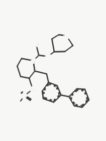 CS(=O)(=O)NC1CCCN(C(O)OC2CCOCC2)C1Cc1cccc(-c2ccccc2)c1